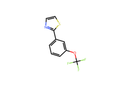 FC(F)(F)Oc1cccc(-c2n[c]cs2)c1